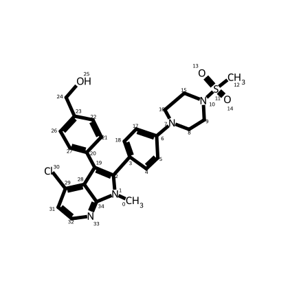 Cn1c(-c2ccc(N3CCN(S(C)(=O)=O)CC3)cc2)c(-c2ccc(CO)cc2)c2c(Cl)ccnc21